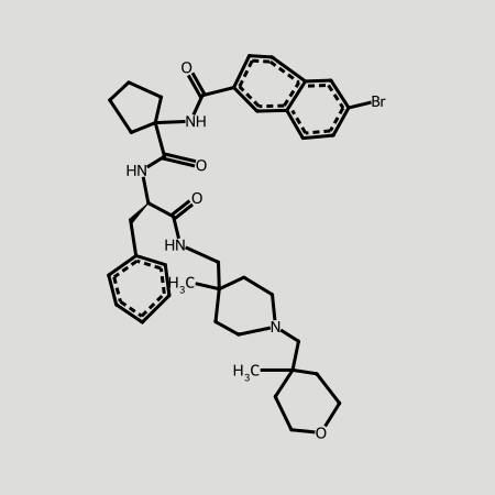 CC1(CNC(=O)[C@@H](Cc2ccccc2)NC(=O)C2(NC(=O)c3ccc4cc(Br)ccc4c3)CCCC2)CCN(CC2(C)CCOCC2)CC1